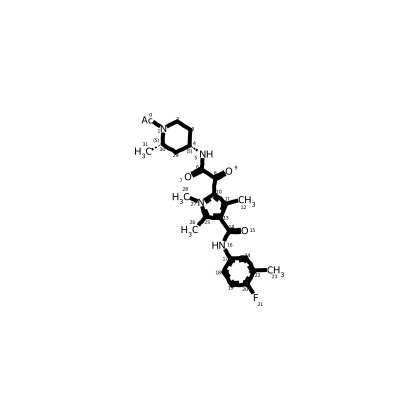 CC(=O)N1CC[C@H](NC(=O)C(=O)c2c(C)c(C(=O)Nc3ccc(F)c(C)c3)c(C)n2C)C[C@@H]1C